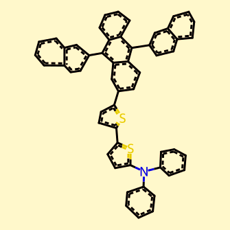 c1ccc(N(c2ccccc2)c2ccc(-c3ccc(-c4ccc5c(-c6ccc7ccccc7c6)c6ccccc6c(-c6ccc7ccccc7c6)c5c4)s3)s2)cc1